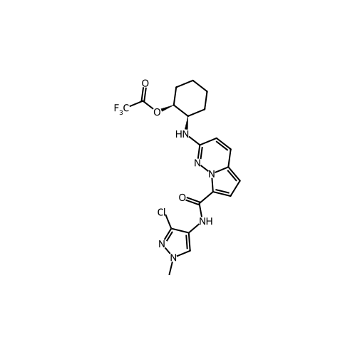 Cn1cc(NC(=O)c2ccc3ccc(N[C@@H]4CCCC[C@@H]4OC(=O)C(F)(F)F)nn23)c(Cl)n1